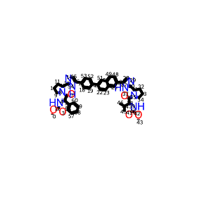 COC(=O)NC(C(=O)N1CCCC1c1ncc(-c2ccc(-c3ccc4cc(-c5cnc(C6CCCN6C(=O)C(NC(=O)OC)C(C)C)[nH]5)ccc4c3)cc2)[nH]1)c1ccccc1